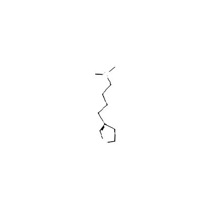 CN(C)CCCCC1=COCC1